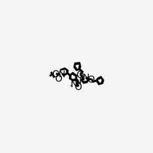 Cn1c(=O)n(-c2ccc(OCc3ccccc3)nc2OCc2ccccc2)c2ccc(C3=CCCN(C(=O)OC(C)(C)C)C3)cc21